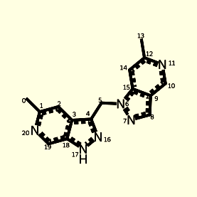 Cc1cc2c(Cn3ncc4cnc(C)cc43)n[nH]c2cn1